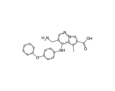 Cc1c(C(=O)O)cn2ncc(CN)c(Nc3ccc(Oc4ccccc4)cc3)c12